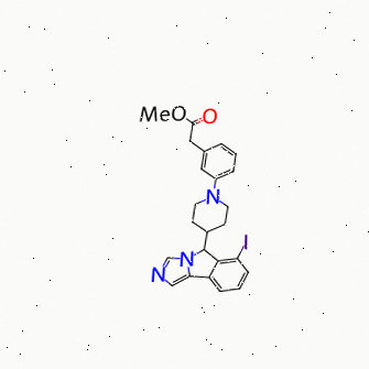 COC(=O)Cc1cccc(N2CCC(C3c4c(I)cccc4-c4cncn43)CC2)c1